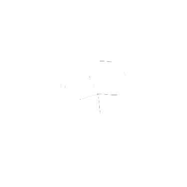 CC(C)CC1(CC(C)C)CCOCC1